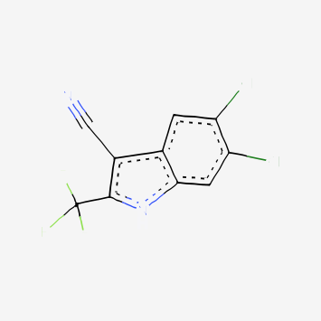 N#Cc1c(C(F)(F)F)[nH]c2cc(Cl)c(Cl)cc12